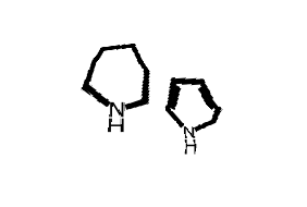 C1=CCNC=C1.C1CCNCC1